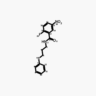 O=C(NCCCSc1ccccc1)c1cc([N+](=O)[O-])ccc1F